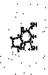 Sc1nc(S)c2[nH]ccc2n1